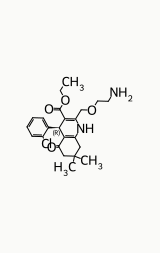 CCOC(=O)C1=C(COCCN)NC2=C(C(=O)CC(C)(C)C2)[C@H]1c1ccccc1Cl